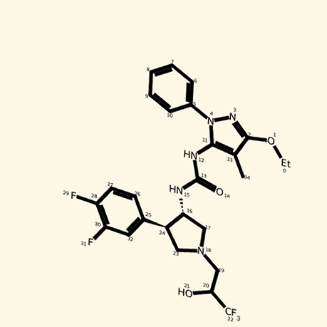 CCOc1nn(-c2ccccc2)c(NC(=O)N[C@@H]2CN(CC(O)C(F)(F)F)C[C@H]2c2ccc(F)c(F)c2)c1C